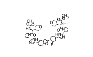 COC(=O)N[C@H](C(=O)N1CCC[C@H]1c1ncc(-c2ccc(-c3cc4cc(-c5cnc([C@@H]6CCCN6C(=O)[C@@H](NC(=O)OC)C6CCOCC6)[nH]5)ccc4o3)c(F)c2)[nH]1)C1CCOCC1